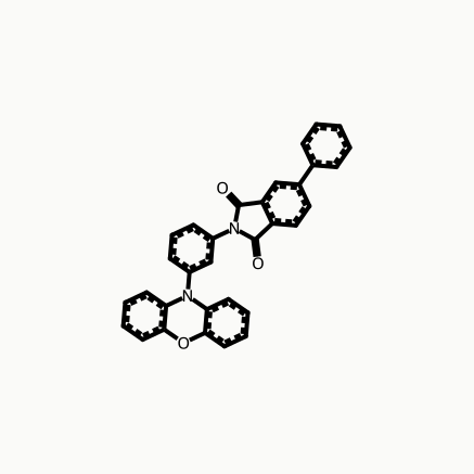 O=C1c2ccc(-c3ccccc3)cc2C(=O)N1c1cccc(N2c3ccccc3Oc3ccccc32)c1